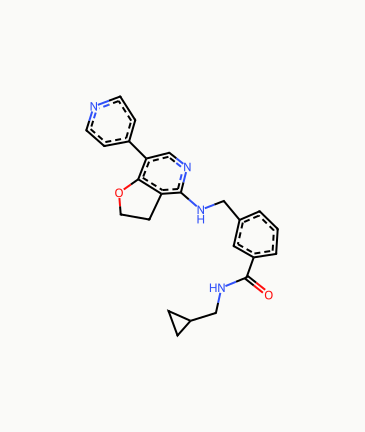 O=C(NCC1CC1)c1cccc(CNc2ncc(-c3ccncc3)c3c2CCO3)c1